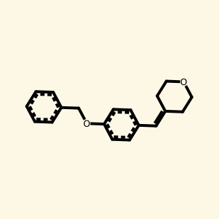 C(=C1CCOCC1)c1ccc(OCc2ccccc2)cc1